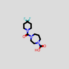 O=C(O)N1CCCN(C(=O)N2CCC(F)(F)CC2)CC1